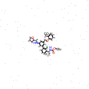 C[C@@H](NC(=O)OC(C)(C)C)c1cccc(-c2cc(COc3ccccc3CC(=O)O)cc(NC[C@H]3CCCO3)c2)c1F